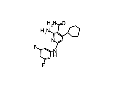 NC(=O)c1c(C2CCCCC2)cc(Nc2cc(F)cc(F)c2)nc1N